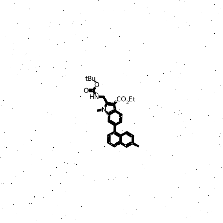 CCOC(=O)c1c(CNC(=O)OC(C)(C)C)n(C)c2cc(-c3cccc4cc(C)ccc34)ccc12